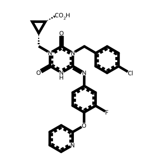 O=C(O)[C@H]1C[C@H]1Cn1c(=O)[nH]/c(=N\c2ccc(Oc3ccccn3)c(F)c2)n(Cc2ccc(Cl)cc2)c1=O